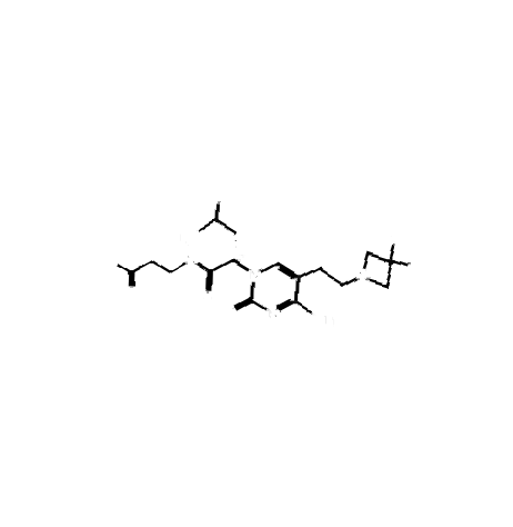 Cc1nc(=O)n([C@@H](CC(C)C)C(=O)NCCC(=O)O)cc1CCN1CC(C)(F)C1